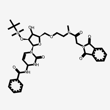 CN(CCOC[C@H]1O[C@@H](N2C=CC(NC(=O)c3ccccc3)NC2=O)[C@@H](O[Si](C)(C)C(C)(C)C)C1O)C(=O)CN1C(=O)c2ccccc2C1=O